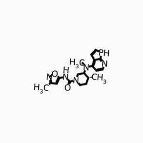 Cc1cc(NC(=O)N2CC[C@@H](C)C(N(C)c3ccnc4[pH]ccc34)C2)on1